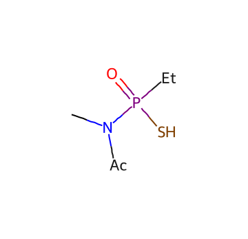 CCP(=O)(S)N(C)C(C)=O